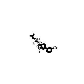 COc1cccc(-c2ccc3c(NC(=O)NCC(C)C)n[nH]c3c2)c1